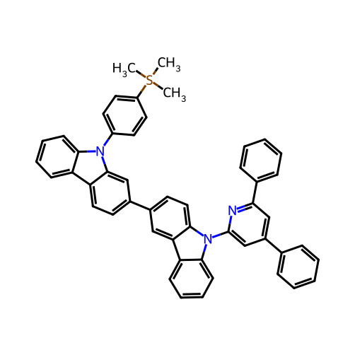 CS(C)(C)c1ccc(-n2c3ccccc3c3ccc(-c4ccc5c(c4)c4ccccc4n5-c4cc(-c5ccccc5)cc(-c5ccccc5)n4)cc32)cc1